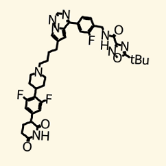 CC(C)(C)c1nc(C(=O)NCc2ccc(-c3ncnn4cc(CCCCN5CCC(c6c(F)cc(C7CCC(=O)NC7=O)cc6F)CC5)cc34)cc2F)no1